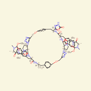 C[C@@H](C(=O)N[C@H](C(=O)N1CC[C@@H]2[C@H]1C(=O)N[C@@H](Cc1ccc3ccccc3c1)C(=O)N[C@H](C(=O)O)Cc1ccc(cc1)OCc1cn(nn1)[C@@H]1CCN(C(=O)[C@@H](NC(=O)[C@H](C)N(C)C(=O)OC(C)(C)C)C(C)(C)C)[C@@H]1C(=O)N[C@@H](Cc1ccc3ccccc3c1)C(=O)N[C@H](c1n[nH]c(=O)o1)Cc1ccc(cc1)OCc1cn2nn1)C(C)(C)C)N(C)C(=O)OC(C)(C)C